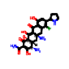 NC(=O)C1=C(O)[C@@H](N)[C@@H]2C[C@]3(N)Cc4c(F)c(C5CCCN5)cc(O)c4C(=O)C3=C(O)[C@]2(O)C1=O